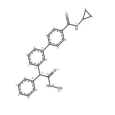 O=C(NC1CC1)c1ccc(-c2cccc(C(C(=O)NO)c3ccccc3)c2)cc1